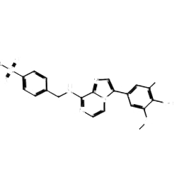 COc1cc(-c2cnc3c(NCc4ccc(S(N)(=O)=O)cc4)nccn23)cc(Cl)c1O